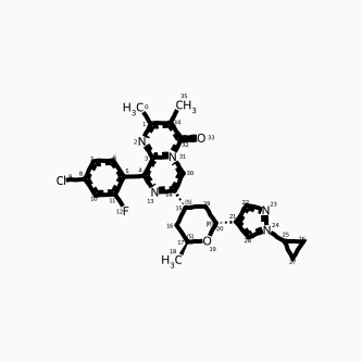 Cc1nc2c(-c3ccc(Cl)cc3F)nc([C@H]3C[C@H](C)O[C@@H](c4cnn(C5CC5)c4)C3)cn2c(=O)c1C